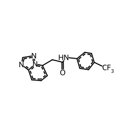 O=C(Cc1cccc2ncnn12)Nc1ccc(C(F)(F)F)cc1